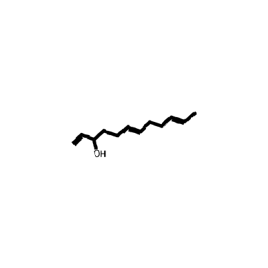 C=CC(O)CCC=CCCC=CC